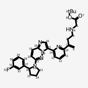 C=C(CCNCC(=O)OC(C)(C)C)c1cccc(-c2cnc3ccc(N4CCCC4c4cccc(F)c4)nn23)n1